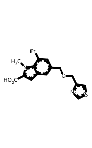 CC(C)c1cc(COCc2cscn2)cc2cc(C(=O)O)n(C)c12